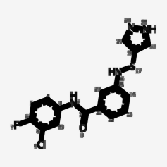 O=C(Nc1ccc(F)c(Cl)c1)c1cccc(NSc2cn[nH]c2)c1